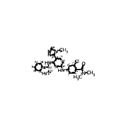 CN(C)C(=O)c1ccc(Nc2ncc(-c3nnnn3C)c(N[C@H](CO)c3ccccc3)n2)cc1Cl